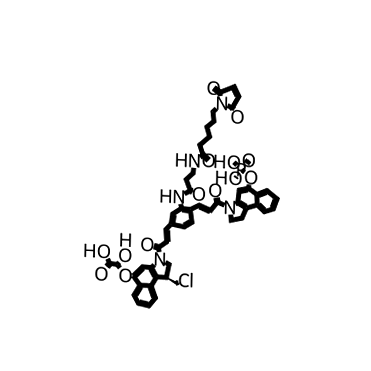 O=C(CCCCCN1C(=O)C=CC1=O)NCCC(=O)Nc1cc(/C=C/C(=O)N2C[C@@H](CCl)c3c2cc(OC(O)C(=O)O)c2ccccc32)ccc1/C=C/C(=O)N1CCc2c1cc(OP(=O)(O)O)c1ccccc21